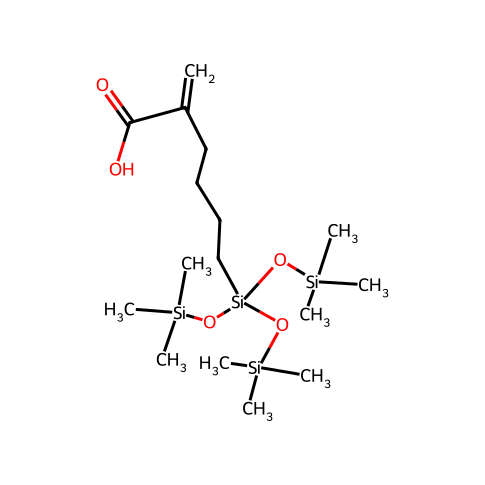 C=C(CCCC[Si](O[Si](C)(C)C)(O[Si](C)(C)C)O[Si](C)(C)C)C(=O)O